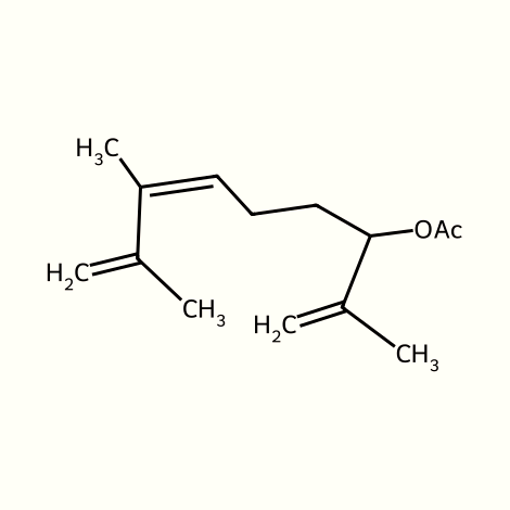 C=C(C)C(C)=CCCC(OC(C)=O)C(=C)C